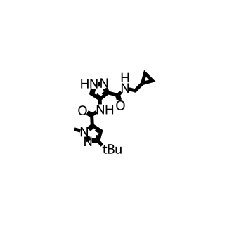 Cn1nc(C(C)(C)C)cc1C(=O)Nc1c[nH]nc1C(=O)NCC1CC1